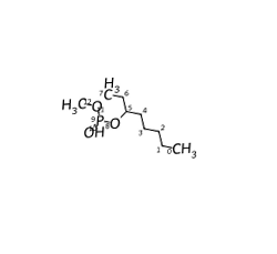 CCCCCC(CC)O[PH](=O)OC